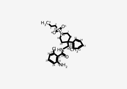 CCC[35S](=O)(=O)N1CCC(c2ccccc2)([C@H](C)NC(=O)c2c(N)cccc2Cl)CC1